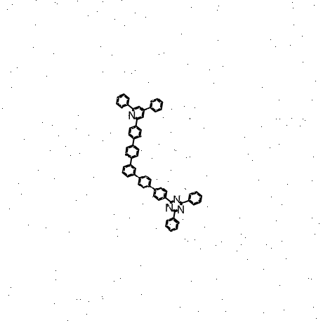 c1ccc(-c2cc(-c3ccccc3)nc(-c3ccc(-c4ccc(-c5cccc(-c6ccc(-c7ccc(-c8nc(-c9ccccc9)nc(-c9ccccc9)n8)cc7)cc6)c5)cc4)cc3)c2)cc1